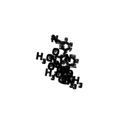 Cn1c(=O)c2c(-c3cccc(C#N)c3)n3c(c2n(C)c1=O)C(B1OC(C)(C)C(C)(C)O1)=CCC3